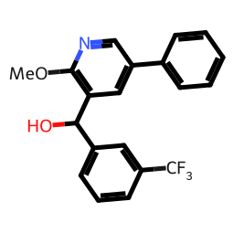 COc1ncc(-c2ccccc2)cc1C(O)c1cccc(C(F)(F)F)c1